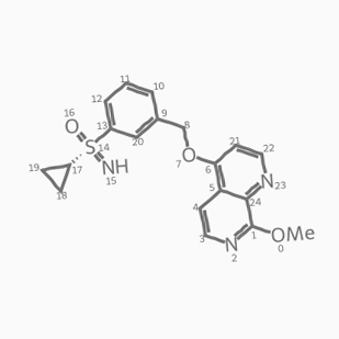 COc1nccc2c(OCc3cccc([S@@](=N)(=O)C4CC4)c3)ccnc12